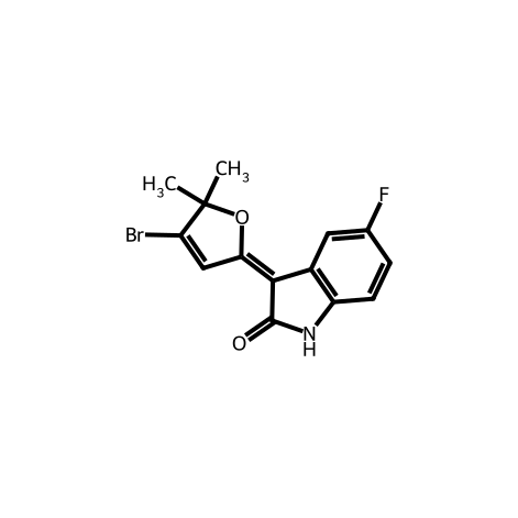 CC1(C)O/C(=C2/C(=O)Nc3ccc(F)cc32)C=C1Br